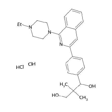 CCN1CCN(c2nc(-c3ccc(C(O)C(C)(C)CO)cc3)cc3ccccc23)CC1.Cl.Cl